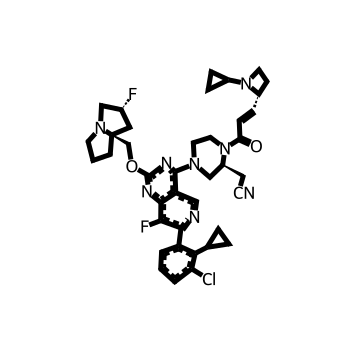 N#CC[C@H]1CN(c2nc(OC[C@@]34CCCN3C[C@H](F)C4)nc3c(F)c(-c4cccc(Cl)c4C4CC4)ncc23)CCN1C(=O)/C=C/[C@H]1CCN1C1CC1